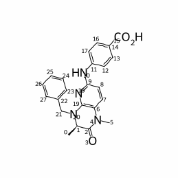 C[C@@H]1C(=O)N(C)c2ccc(Nc3ccc(C(=O)O)cc3)nc2N1Cc1ccccc1